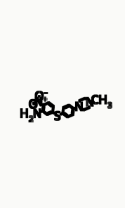 CN1CCN(c2ccc(Sc3ccc([N+](=O)[O-])c(N)c3)cc2)CC1